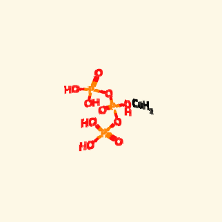 O=P(O)(O)OP(=O)(O)OP(=O)(O)O.[CaH2]